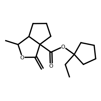 C=C1OC(C)C2CCCC12C(=O)OC1(CC)CCCC1